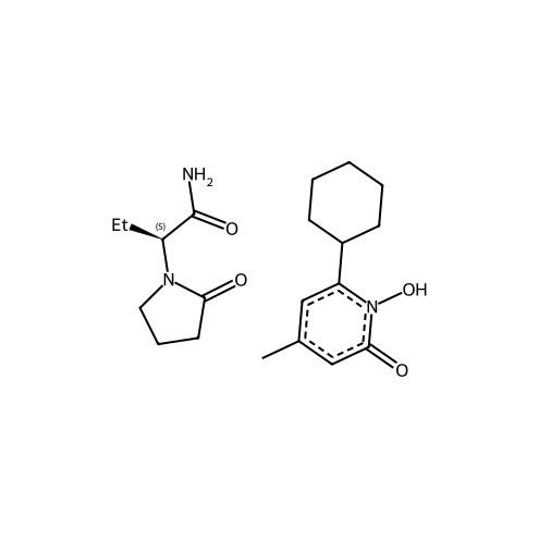 CC[C@@H](C(N)=O)N1CCCC1=O.Cc1cc(C2CCCCC2)n(O)c(=O)c1